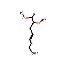 [CH2]CCCCCCCCCCCC=CCC(OC(C)C)C(C)OC(C)C